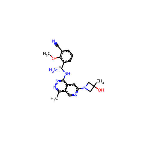 COc1c(C#N)cccc1[C@@H](N)Nc1nnc(C)c2cnc(N3CC(C)(O)C3)cc12